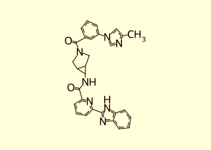 Cc1cn(-c2cccc(C(=O)N3CC4C(C3)C4NC(=O)c3cccc(-c4nc5ccccc5[nH]4)n3)c2)cn1